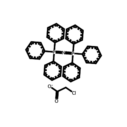 O=C([O-])CCl.c1ccc(P(=[N+]=P(c2ccccc2)(c2ccccc2)c2ccccc2)(c2ccccc2)c2ccccc2)cc1